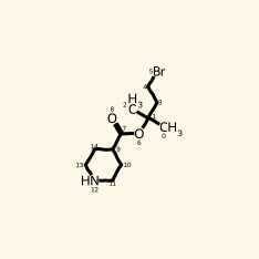 CC(C)(CCBr)OC(=O)C1CCNCC1